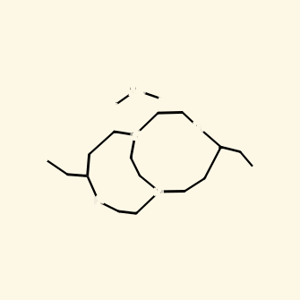 CCC1CCN2CCNC(CC)CCN(CCN1)CC2.[Cl][Mn][Cl]